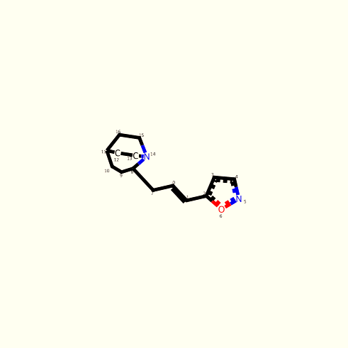 C(=Cc1ccno1)CC1CCC2CCN1CC2